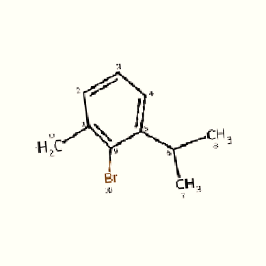 [CH2]c1cccc(C(C)C)c1Br